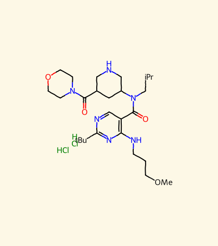 COCCCNc1nc(C(C)(C)C)ncc1C(=O)N(CC(C)C)C1CNCC(C(=O)N2CCOCC2)C1.Cl.Cl